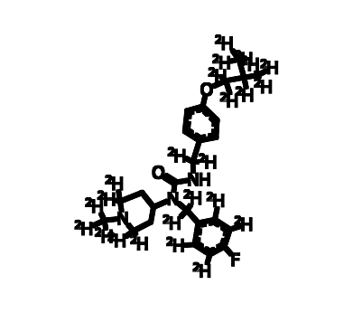 [2H]c1c([2H])c(C([2H])([2H])N(C(=O)NC([2H])([2H])c2ccc(OC([2H])([2H])C([2H])(C([2H])([2H])[2H])C([2H])([2H])[2H])cc2)C2CC([2H])([2H])N(C([2H])([2H])[2H])C([2H])([2H])C2)c([2H])c([2H])c1F